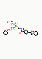 COC(=O)[C@H](CCNC(=O)c1ccc(-c2cc3ccccc3o2)cc1)OCOCc1ccccc1